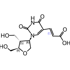 O=C(O)/C=C/c1cn([C@H]2CO[C@@H](CO)[C@@H]2CO)c(=O)[nH]c1=O